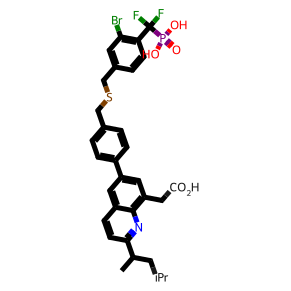 CC(C)CC(C)c1ccc2cc(-c3ccc(CSCc4ccc(C(F)(F)P(=O)(O)O)c(Br)c4)cc3)cc(CC(=O)O)c2n1